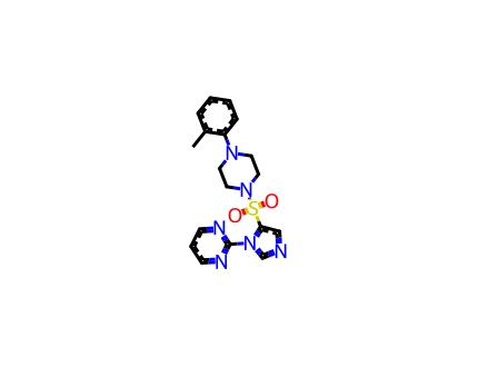 Cc1ccccc1N1CCN(S(=O)(=O)c2cncn2-c2ncccn2)CC1